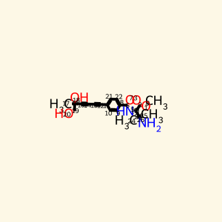 COC(=O)[C@@H](NC(=O)c1ccc(C#CC#CC(C)(O)CO)cc1)C(C)(C)N